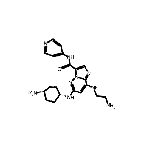 NCCNc1cc(N[C@H]2CC[C@H](N)CC2)nn2c(C(=O)Nc3ccncc3)cnc12